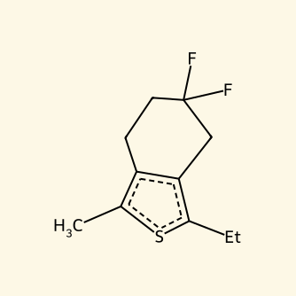 CCc1sc(C)c2c1CC(F)(F)CC2